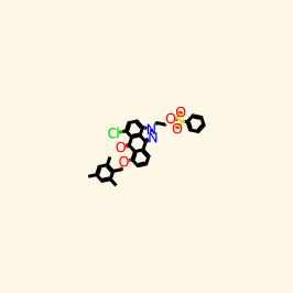 Cc1cc(C)c(COc2cccc3c2C(=O)c2c(Cl)ccc4c2c-3nn4CCOS(=O)(=O)c2ccccc2)c(C)c1